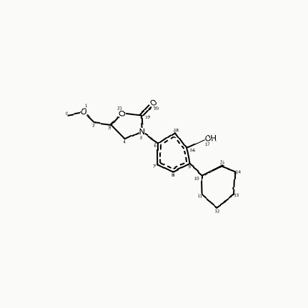 COCC1CN(c2ccc(C3CCCCC3)c(O)c2)C(=O)O1